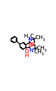 CC1(C)COC(C2=CC(c3ccccc3)C=CC2(O)C2=NC(C)(C)CO2)=N1